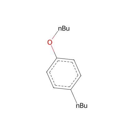 [CH2]CCCc1ccc(OCCCC)cc1